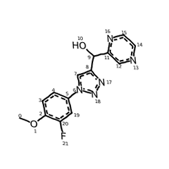 COc1ccc(-n2cc(C(O)c3cnccn3)nn2)cc1F